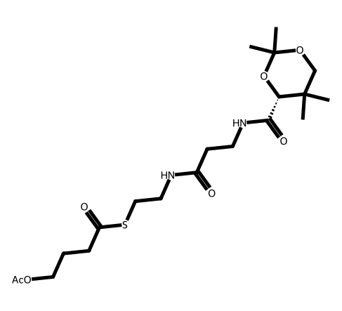 CC(=O)OCCCC(=O)SCCNC(=O)CCNC(=O)[C@@H]1OC(C)(C)OCC1(C)C